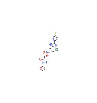 C[C@H]1CN(S(=O)(=O)C=CC(=O)NC[C@@H]2CCCO2)CC[C@H]1c1[nH]c(-c2ccc(F)cn2)nc1Cl